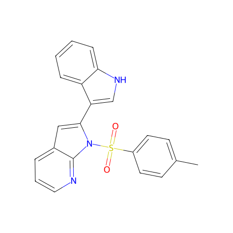 Cc1ccc(S(=O)(=O)n2c(-c3c[nH]c4ccccc34)cc3cccnc32)cc1